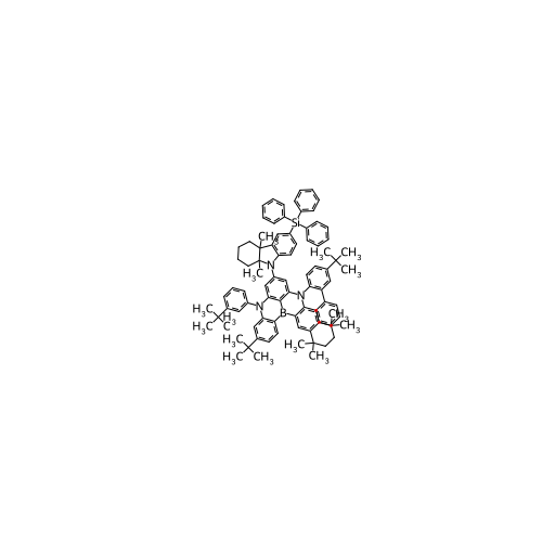 CC(C)(C)c1cccc(N2c3cc(C(C)(C)C)ccc3B3c4cc5c(cc4N(c4ccc(C(C)(C)C)cc4-c4ccccc4)c4cc(N6c7ccc([Si](c8ccccc8)(c8ccccc8)c8ccccc8)cc7C7(C)CCCCC67C)cc2c43)C(C)(C)CCC5(C)C)c1